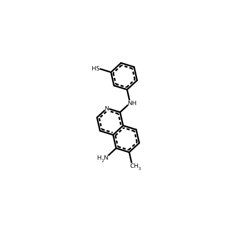 Cc1ccc2c(Nc3cccc(S)c3)nccc2c1N